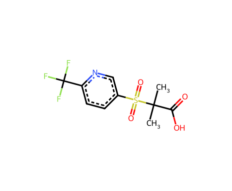 CC(C)(C(=O)O)S(=O)(=O)c1ccc(C(F)(F)F)nc1